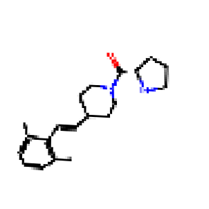 Cc1cccc(C)c1/C=C/C1CCN(C(=O)[C@@H]2CCCN2)CC1